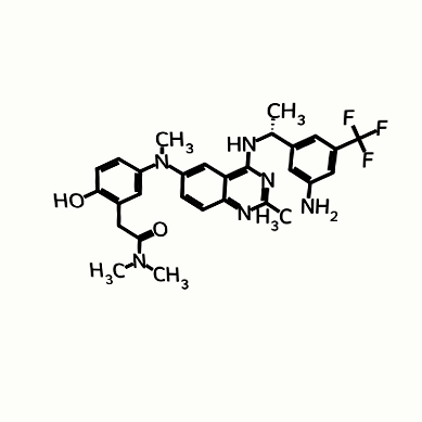 Cc1nc(N[C@H](C)c2cc(N)cc(C(F)(F)F)c2)c2cc(N(C)c3ccc(O)c(CC(=O)N(C)C)c3)ccc2n1